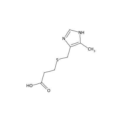 Cc1[nH]cnc1CSCCC(=O)O